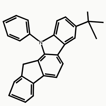 CC(C)(C)c1ccc2c(c1)c1ccc3c(c1n2-c1ccccc1)Cc1ccccc1-3